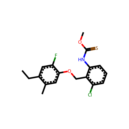 CCc1cc(F)c(OCc2c(Cl)cccc2NC(=S)OC)cc1C